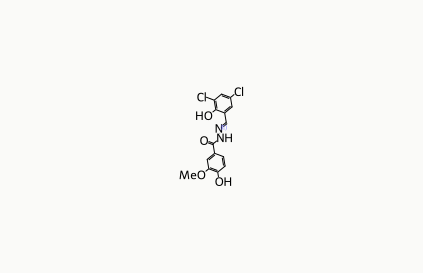 COc1cc(C(=O)N/N=C/c2cc(Cl)cc(Cl)c2O)ccc1O